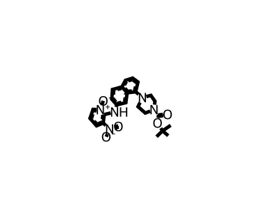 CC(C)(C)OC(=O)N1CCN(c2cccc3ccc(Nc4c([N+](=O)[O-])ccc[n+]4[O-])cc23)CC1